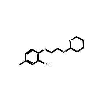 Cc1ccc(OCCOC2CCCCO2)c(C(=O)O)c1